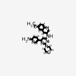 COc1ccc2ncc(Nc3cc(-c4ccc(N)nc4)nc(N4CCOCC4)n3)cc2c1